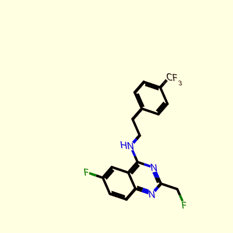 FCc1nc(NCCc2ccc(C(F)(F)F)cc2)c2cc(F)ccc2n1